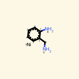 NCc1ccccc1N.[Ni]